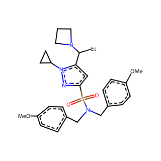 CCC(c1cc(S(=O)(=O)N(Cc2ccc(OC)cc2)Cc2ccc(OC)cc2)nn1C1CC1)N1CCC1